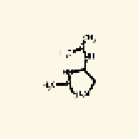 CN(C)NC(C[SiH3])NN(C)C